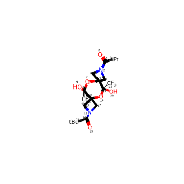 CC(C)C(=O)N1CC2(C1)O[C@](O)(C(F)(F)F)C1(CN(C(=O)C(C)(C)C)C1)O[C@@]2(O)C(F)(F)F